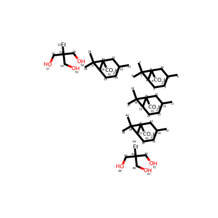 CC1CCC2C(C)(C)C2(C(=O)O)C1.CC1CCC2C(C)(C)C2(C(=O)O)C1.CC1CCC2C(C)(C)C2(C(=O)O)C1.CC1CCC2C(C)(C)C2(C(=O)O)C1.CCC(CO)(CO)CO.CCC(CO)(CO)CO